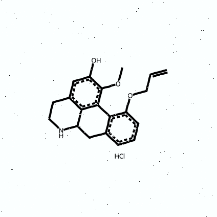 C=CCOc1cccc2c1-c1c(OC)c(O)cc3c1C(C2)NCC3.Cl